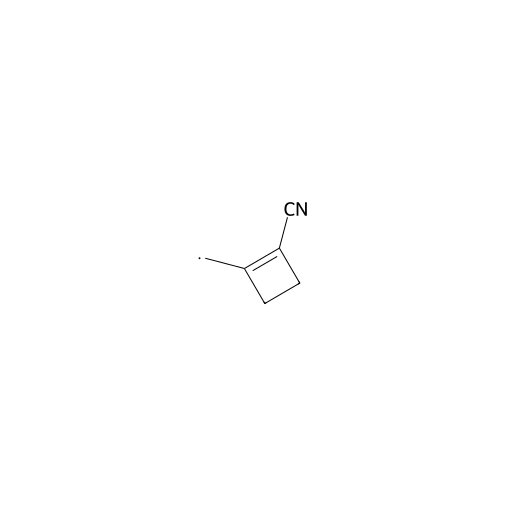 [CH2]C1=C(C#N)CC1